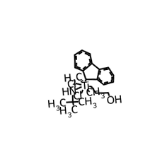 [CH2]=[Ti]([CH3])([Cl])([Cl])([CH2]CCO)([NH]C(C)(C)C)[CH]1c2ccccc2-c2ccccc21